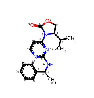 CC(C)C1COC(=O)N1c1ccnc(N[C@@H](C)c2ccccc2)n1